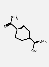 CC(=O)OC(C)C1CCN(C(N)=O)CC1